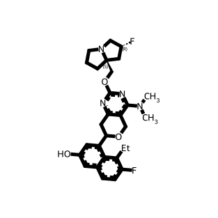 CCc1c(F)ccc2cc(O)cc(C3Cc4nc(OC[C@@]56CCCN5C[C@H](F)C6)nc(N(C)C)c4CO3)c12